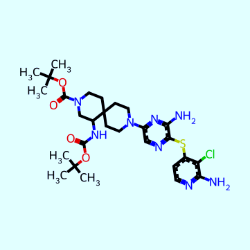 CC(C)(C)OC(=O)NC1CN(C(=O)OC(C)(C)C)CCC12CCN(c1cnc(Sc3ccnc(N)c3Cl)c(N)n1)CC2